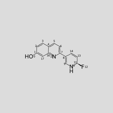 Oc1ccc2ccc(C3=CN[C@H](F)C=C3)nc2c1